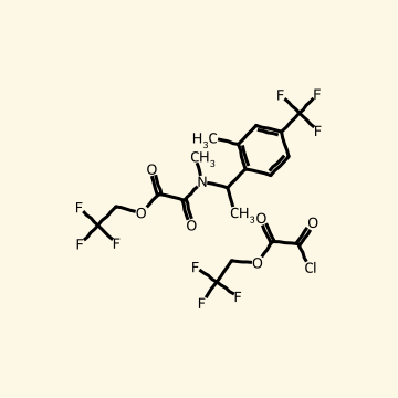 Cc1cc(C(F)(F)F)ccc1C(C)N(C)C(=O)C(=O)OCC(F)(F)F.O=C(Cl)C(=O)OCC(F)(F)F